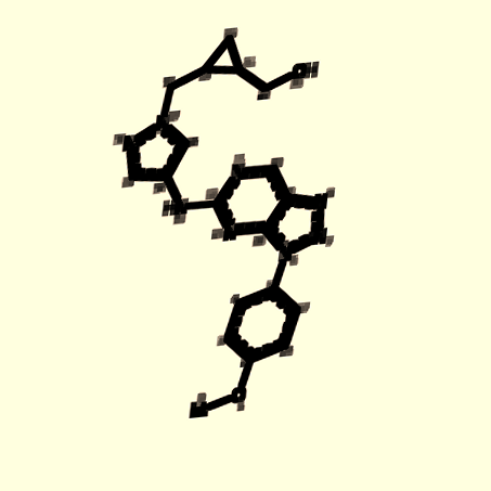 CCOc1ccc(-n2nnc3cnc(Nc4cnn(CC5CC5CO)c4)nc32)cc1